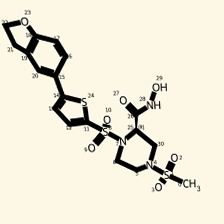 CS(=O)(=O)N1CCN(S(=O)(=O)c2ccc(-c3ccc4c(c3)CCO4)s2)[C@@H](C(=O)NO)C1